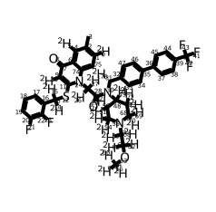 [2H]c1c(C)c([2H])c2c(=O)c([2H])c(SC([2H])([2H])c3cccc(F)c3F)n(C([2H])([2H])C(=O)N(Cc3ccc(-c4ccc(C(F)(F)F)cc4)cc3)C3([2H])C([2H])([2H])C([2H])([2H])N(C([2H])([2H])C([2H])([2H])OC([2H])([2H])[2H])C([2H])([2H])C3([2H])[2H])c2c1[2H]